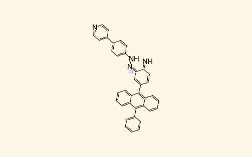 N=C1C=CC(c2c3ccccc3c(-c3ccccc3)c3ccccc23)=C/C1=N/Nc1ccc(-c2ccncc2)cc1